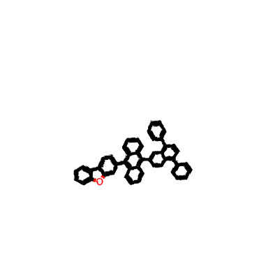 c1ccc(-c2ccc(-c3ccccc3)c3cc(-c4c5ccccc5c(-c5ccc6c(c5)oc5ccccc56)c5ccccc45)ccc23)cc1